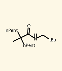 CCCCCC(C)(CCCCC)C(=O)NCC(C)(C)C